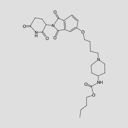 CCCCOC(=O)NC1CCN(CCCCOc2ccc3c(c2)C(=O)N(C2CCC(=O)NC2=O)C3=O)CC1